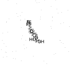 C=C(CO)C(O)OC1CCC(c2ccc(CCCCC(F)(F)F)cc2)CC1